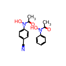 CC(=O)N(O)c1ccc(C#N)cc1.CC(=O)N(O)c1ccccc1